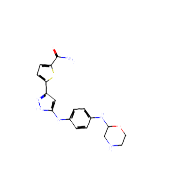 NC(=O)c1ccc(-c2cc(Nc3ccc(NC4CNCCO4)cc3)[nH]n2)s1